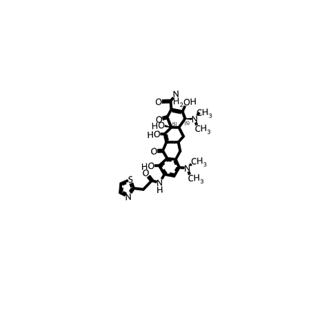 CN(C)c1cc(NC(=O)Cc2nccs2)c(O)c2c1CC1CC3[C@H](N(C)C)C(O)=C(C(N)=O)C(=O)[C@@]3(O)C(O)=C1C2=O